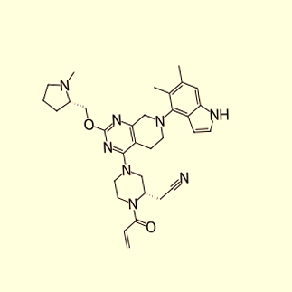 C=CC(=O)N1CCN(c2nc(OC[C@@H]3CCCN3C)nc3c2CCN(c2c(C)c(C)cc4[nH]ccc24)C3)C[C@@H]1CC#N